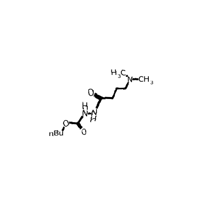 CCCCOC(=O)NNC(=O)CCCN(C)C